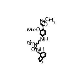 CCCN(CCNc1ccc(-c2cnc(C)o2)c(OC)c1)C(=O)NCc1cccc2sccc12